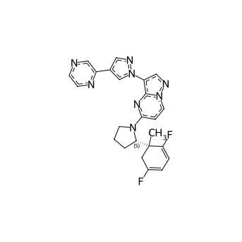 CC1([C@@H]2CCCN2c2ccn3ncc(-n4cc(-c5cnccn5)cn4)c3n2)CC(F)=CC=C1F